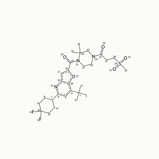 CC(C)(C)c1cc(C2CCC(F)(F)CC2)nc2cc(C(=O)N3CCN(C(=O)CCS(C)(=O)=O)CC3(C)C)oc12